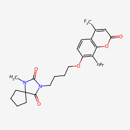 CCCc1c(OCCCCN2C(=O)N(C)C3(CCCC3)C2=O)ccc2c(C(F)(F)F)cc(=O)oc12